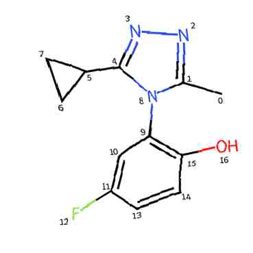 Cc1nnc(C2CC2)n1-c1cc(F)ccc1O